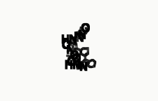 CC(=O)OCc1c(-c2cc(Nc3cc4n(n3)CCOC4)c(=O)n(C)c2)cccc1-c1c2c(n3c1C(=O)NCC3)CCCC2